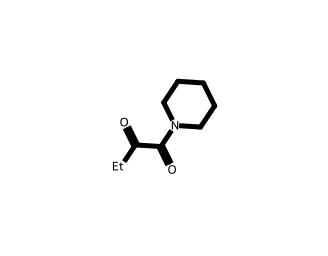 CCC(=O)C(=O)N1CCCCC1